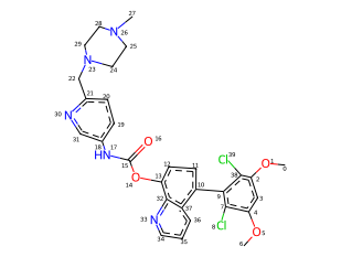 COc1cc(OC)c(Cl)c(-c2ccc(OC(=O)Nc3ccc(CN4CCN(C)CC4)nc3)c3ncccc23)c1Cl